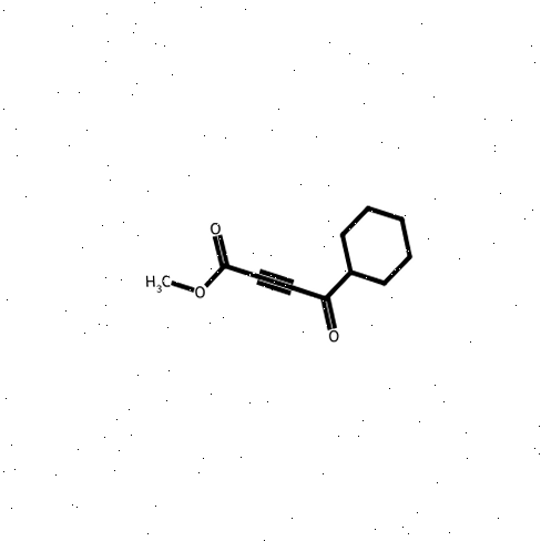 COC(=O)C#CC(=O)C1CCCCC1